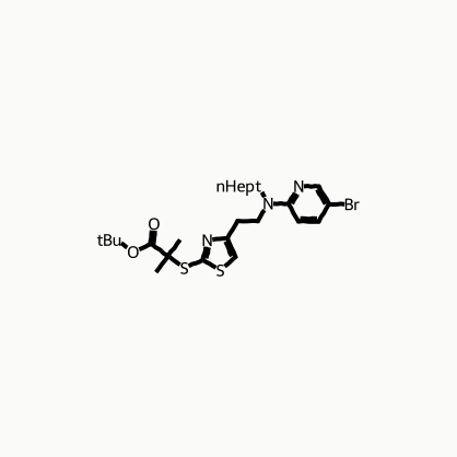 CCCCCCCN(CCc1csc(SC(C)(C)C(=O)OC(C)(C)C)n1)c1ccc(Br)cn1